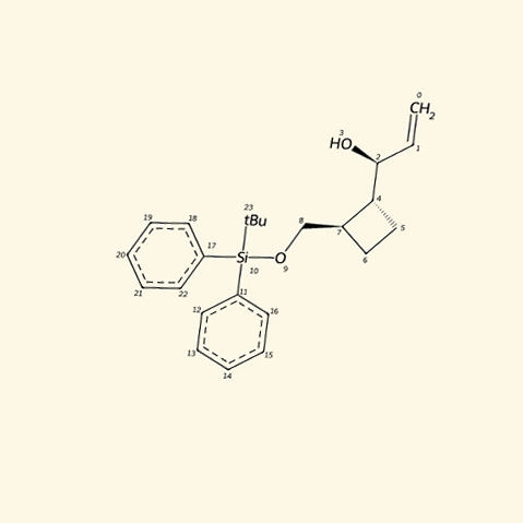 C=C[C@H](O)[C@@H]1CC[C@H]1CO[Si](c1ccccc1)(c1ccccc1)C(C)(C)C